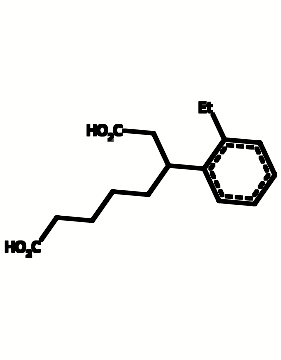 CCc1ccccc1C(CCCCC(=O)O)CC(=O)O